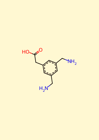 NCc1cc(CN)cc(CC(=O)O)c1